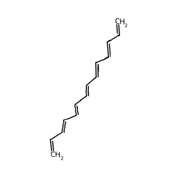 C=CC=CC=CC=CC=CC=CC=C